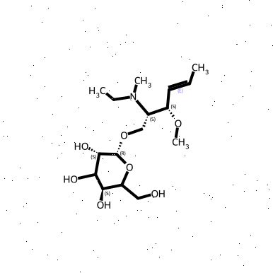 C/C=C/[C@H](OC)[C@H](CO[C@@H]1OC(CO)[C@@H](O)C(O)[C@@H]1O)N(C)CC